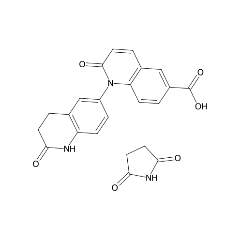 O=C1CCC(=O)N1.O=C1CCc2cc(-n3c(=O)ccc4cc(C(=O)O)ccc43)ccc2N1